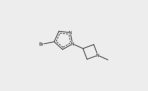 CN1CC(n2cc(Br)cn2)C1